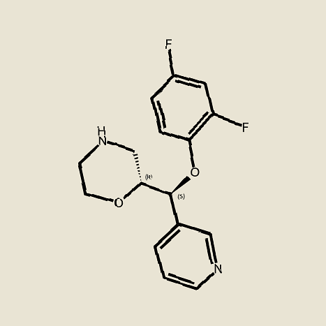 Fc1ccc(O[C@@H](c2cccnc2)[C@H]2CNCCO2)c(F)c1